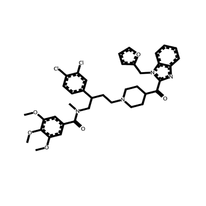 COc1cc(C(=O)N(C)CC(CCN2CCC(C(=O)c3nc4ccccc4n3Cc3ccco3)CC2)c2ccc(Cl)c(Cl)c2)cc(OC)c1OC